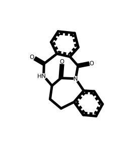 O=C1NC2CCc3ccccc3N(C(=O)c3ccccc31)C2=O